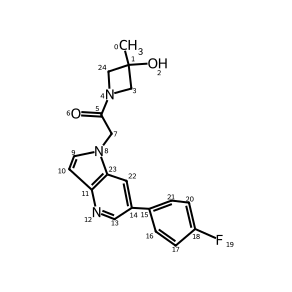 CC1(O)CN(C(=O)Cn2ccc3ncc(-c4ccc(F)cc4)cc32)C1